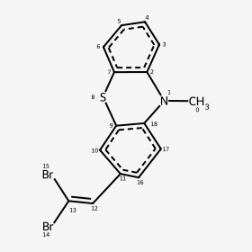 CN1c2ccccc2Sc2cc(C=C(Br)Br)ccc21